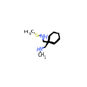 CNCC1(CNSC)CCCCC1